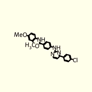 COc1ccc(NC(=O)c2ccc(Nc3nccc(-c4ccc(Cl)cc4)n3)cc2)c(C)c1